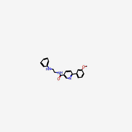 COc1cccc(-c2ccc(C(=O)NCCNc3ccccc3)cn2)c1